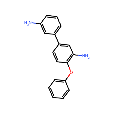 Nc1cccc(-c2ccc(Oc3ccccc3)c(N)c2)c1